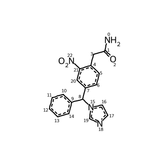 NC(=O)Cc1ccc(C(c2ccccc2)n2ccnc2)cc1[N+](=O)[O-]